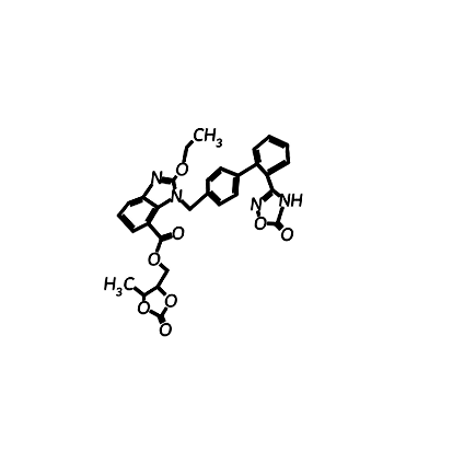 CCOc1nc2cccc(C(=O)OCC3OC(=O)OC3C)c2n1Cc1ccc(-c2ccccc2-c2noc(=O)[nH]2)cc1